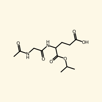 CC(=O)NCC(=O)NC(CCC(=O)O)C(=O)OC(C)C